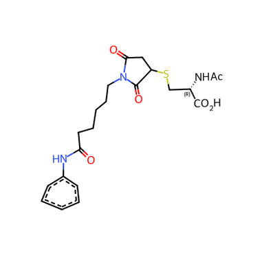 CC(=O)N[C@@H](CSC1CC(=O)N(CCCCCC(=O)Nc2ccccc2)C1=O)C(=O)O